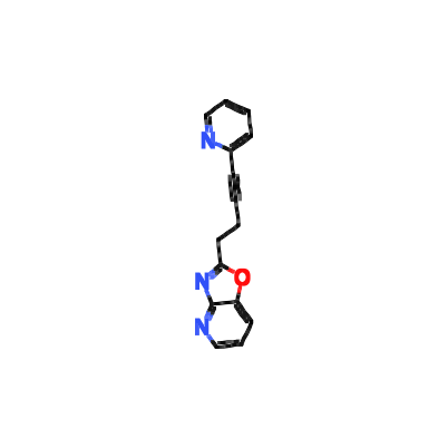 C(#Cc1ccccn1)CCc1nc2ncccc2o1